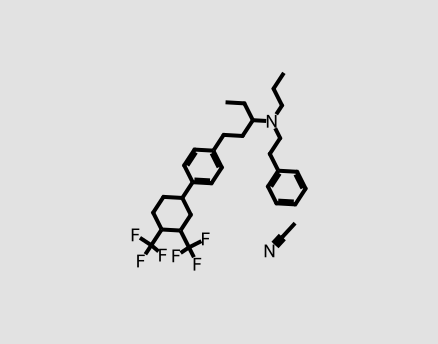 CC#N.CCCN(CCc1ccccc1)C(CC)CCc1ccc(C2CCC(C(F)(F)F)C(C(F)(F)F)C2)cc1